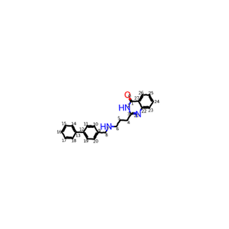 O=c1[nH]c(CCCNCc2ccc(-c3ccccc3)cc2)nc2ccccc12